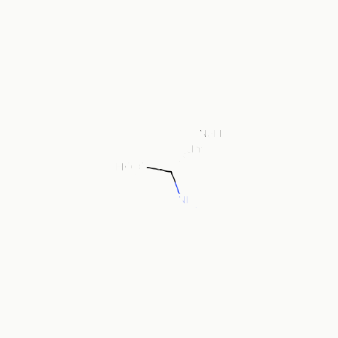 CC(C)[C@H](N)C(=O)O.[NaH]